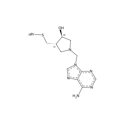 CCCSC[C@H]1CN(Cn2cnc3c(N)ncnc32)C[C@@H]1O